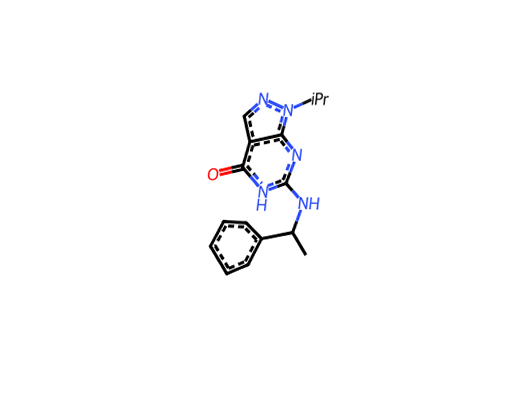 CC(Nc1nc2c(cnn2C(C)C)c(=O)[nH]1)c1ccccc1